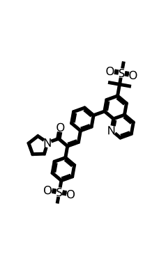 CC(C)(c1cc(-c2cccc(C=C(C(=O)N3CCCC3)c3ccc(S(C)(=O)=O)cc3)c2)c2ncccc2c1)S(C)(=O)=O